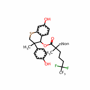 CCCCCCCCCC(C)(CCCC(F)(F)C(F)(F)F)C(=O)OC1c2ccc(O)cc2SCC1(C)c1ccc(O)cc1